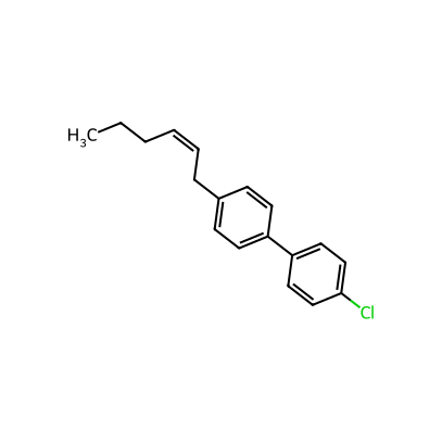 CCC/C=C\Cc1ccc(-c2ccc(Cl)cc2)cc1